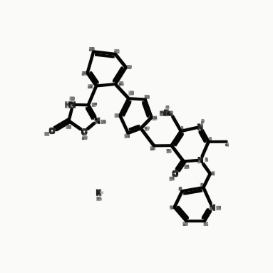 CCCCc1nc(C)n(Cc2ccccn2)c(=O)c1Cc1ccc(-c2ccccc2-c2noc(=O)[nH]2)cc1.[K]